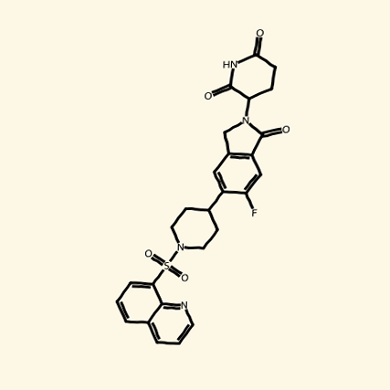 O=C1CCC(N2Cc3cc(C4CCN(S(=O)(=O)c5cccc6cccnc56)CC4)c(F)cc3C2=O)C(=O)N1